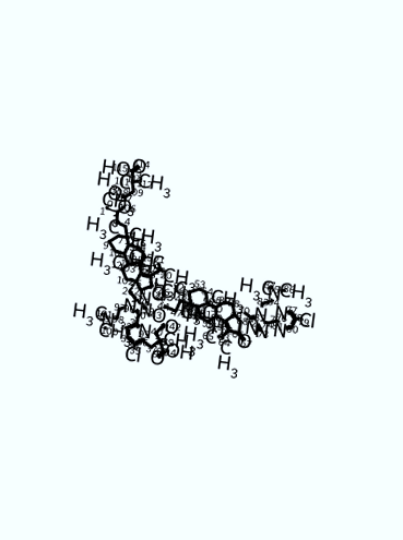 CC[C@H](CC[C@@]1(C)[C@H](C)CC[C@]2(C)[C@@H]1CC[C@@H]1C3=C(C(C)C)C(=O)C[C@]3(Cc3nnc(-c4ccc(Cl)c(CC(C)(CC(=O)O[C@H](CC)CC[C@@]5(C)[C@H](C)CC[C@]6(C)[C@@H]5CC[C@@H]5C7=C(C(C)C)C(=O)C[C@]7(Cc7nnc(-c8ncc(Cl)cn8)n7CCN(C)C)CC[C@]56C)C(=O)O)n4)n3CCN(C)C)CC[C@]12C)OC(=O)CC(C)(C)C(=O)O